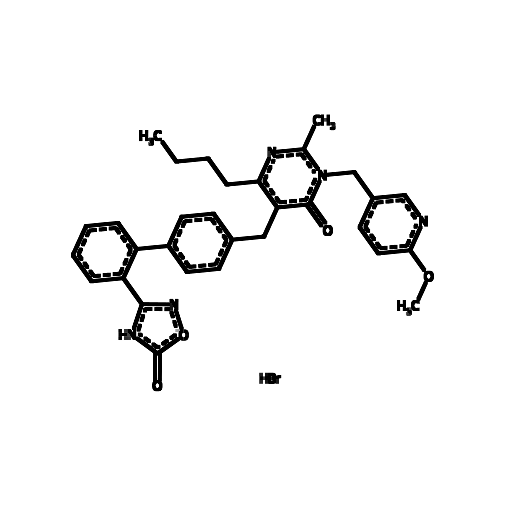 Br.CCCCc1nc(C)n(Cc2ccc(OC)nc2)c(=O)c1Cc1ccc(-c2ccccc2-c2noc(=O)[nH]2)cc1